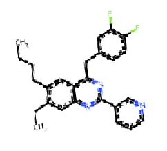 CCCCc1cc2c(Cc3ccc(F)c(F)c3)nc(-c3cccnc3)nc2cc1CC